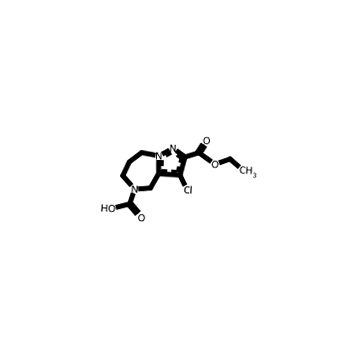 CCOC(=O)c1nn2c(c1Cl)CN(C(=O)O)CCC2